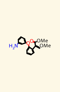 CO/C=C(\C(=O)OC)c1ccccc1Oc1cccc(N)c1